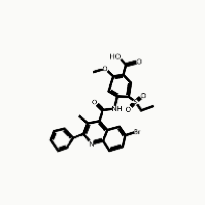 CCS(=O)(=O)c1cc(C(=O)O)c(OC)cc1NC(=O)c1c(C)c(-c2ccccc2)nc2ccc(Br)cc12